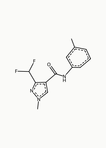 Cc1cccc(NC(=O)c2cn(C)nc2C(F)F)c1